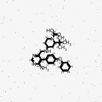 CC(C)(C)C1CC(NCc2ncnc(N)c2-c2ccc(Oc3ccccc3)cc2)CCN1C(=O)O